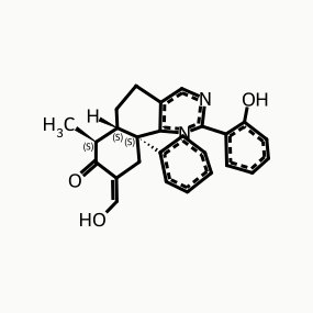 C[C@@H]1C(=O)C(=CO)C[C@]2(c3ccccc3)c3nc(-c4ccccc4O)ncc3CC[C@@H]12